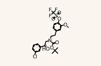 COc1cc(CCN(C[C@@H](O)c2cccc(Cl)c2)C(=O)OC(C)(C)C)ccc1OS(=O)(=O)C(F)(F)F